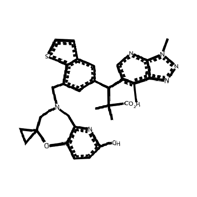 Cc1c(C(c2cc(CN3Cc4nc(O)ccc4OC4(CC4)C3)c3sccc3c2)C(C)(C)C(=O)O)cnc2c1nnn2C